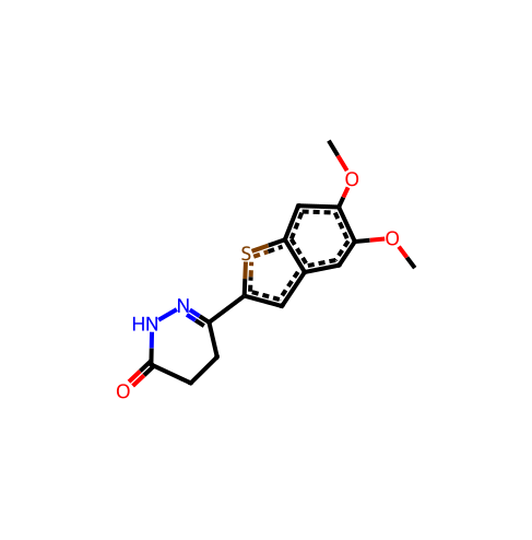 COc1cc2cc(C3=NNC(=O)CC3)sc2cc1OC